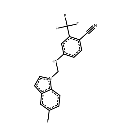 N#Cc1ccc(NCn2ccc3cc(F)ccc32)cc1C(F)(F)F